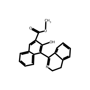 COC(=O)c1cc2ccccc2c(C2=NCCc3ccccc32)c1O